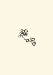 COC(=O)C(CC=Cc1ccc(N(Cc2cccnc2)c2ncccn2)cc1)NC(=O)c1c(Cl)cccc1Cl